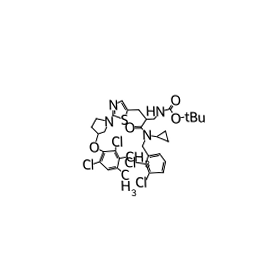 Cc1cc(Cl)c(OC2CCN(c3ncc(CC(CNC(=O)OC(C)(C)C)C(=O)N(Cc4cccc(Cl)c4Cl)C4CC4)s3)C2)c(Cl)c1C